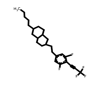 CCCCCC1CCC2CC(CCc3cc(F)c(C#CC(F)(F)F)c(F)c3)CCC2C1